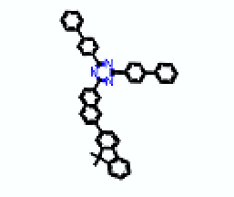 CC1(C)c2ccccc2-c2ccc(-c3ccc4ccc(-c5nc(-c6ccc(-c7ccccc7)cc6)nc(-c6ccc(-c7ccccc7)cc6)n5)cc4c3)cc21